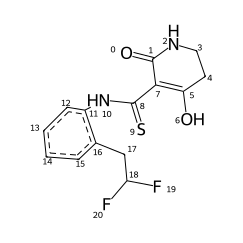 O=C1NCCC(O)=C1C(=S)Nc1ccccc1CC(F)F